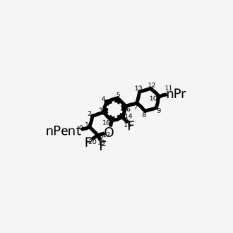 CCCCCC1Cc2ccc(C3CCC(CCC)CC3)c(F)c2OC1(F)F